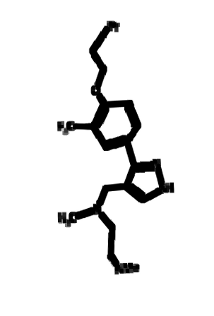 CNCCN(C)Cc1c[nH]nc1-c1ccc(OCCC(C)C)c(C(F)(F)F)c1